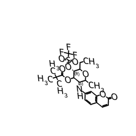 CCC1OC(C)[C@H](Nc2ccc3ccc(=O)oc3c2)C(OC(=O)C(C)(C)C)[C@@H]1OS(=O)(=O)C(F)(F)F